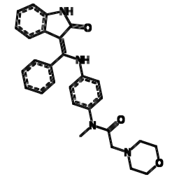 CN(C(=O)CN1CCOCC1)c1ccc(N/C(=C2\C(=O)Nc3ccccc32)c2ccccc2)cc1